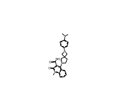 CN(C)c1ccc(N2CC3(CCN(c4c(C(N)=O)c(=O)n(C)c5ccccc45)C3)C2)cc1